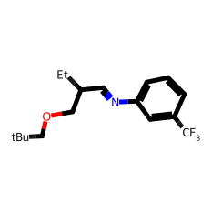 CCC(C=Nc1cccc(C(F)(F)F)c1)COCC(C)(C)C